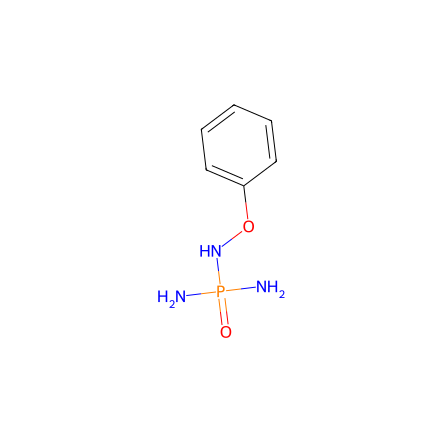 NP(N)(=O)NOc1ccccc1